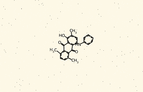 Cc1cc(Nc2ccccc2)c2c(c1O)C(=O)c1c(C)ccc(C)c1C2=O